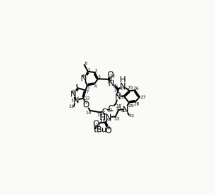 Cc1cc2cc(n1)-c1cnn(C)c1OCCCCCN1/C(=N/C2=O)Nc2cccc(N(C)CCNC(=O)OC(C)(C)C)c21